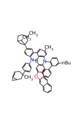 CCCCc1ccc(N2c3cc4c(cc3B3c5c(cc(C)cc52)-c2cc(C56CC(C)CCC(C5)C6C)ccc2N3c2ccc(C3(C)CC=C5CC5C3)cc2)oc2cc3ccccc3cc24)c(-c2ccccc2)c1